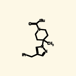 CC(C)Cc1cnn(C2(C)CCN(C(=O)C(C)(C)C)CC2)c1